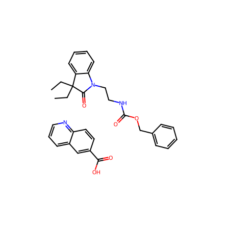 CCC1(CC)C(=O)N(CCNC(=O)OCc2ccccc2)c2ccccc21.O=C(O)c1ccc2ncccc2c1